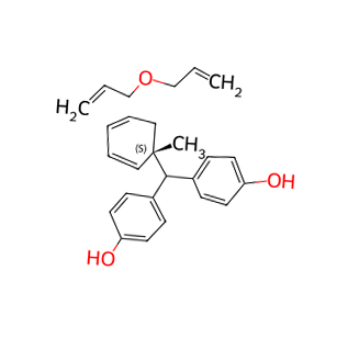 C=CCOCC=C.C[C@@]1(C(c2ccc(O)cc2)c2ccc(O)cc2)C=CC=CC1